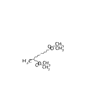 CCC(CCCCCCCCCCC(=O)OCC(C)C)CCC(=O)OCC(C)C